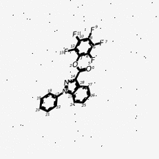 O=C(Oc1c(F)c(F)c(F)c(F)c1F)c1nn(-c2ccccc2)c2ccccc12